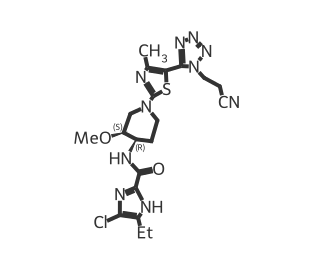 CCc1[nH]c(C(=O)N[C@@H]2CCN(c3nc(C)c(-c4nnnn4CCC#N)s3)C[C@@H]2OC)nc1Cl